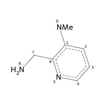 CNc1cccnc1CN